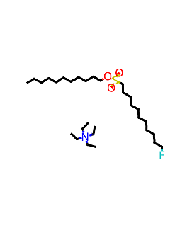 CCCCCCCCCCCOS(=O)(=O)CCCCCCCCCCCF.CC[N+](CC)(CC)CC